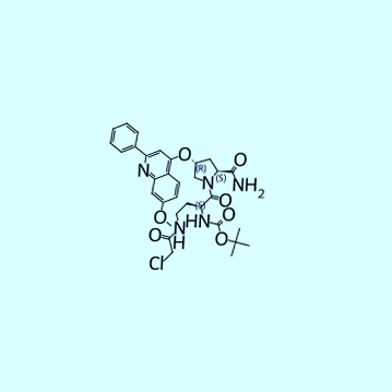 COc1ccc2c(O[C@@H]3C[C@@H](C(N)=O)N(C(=O)[C@H](CCNC(=O)CCl)NC(=O)OC(C)(C)C)C3)cc(-c3ccccc3)nc2c1